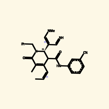 C/C=C\C1=C(C)C(=O)N(CC(C)C)[C@H](/C(C=N)=C/NC)C1C(=O)Nc1cccc(C#N)c1